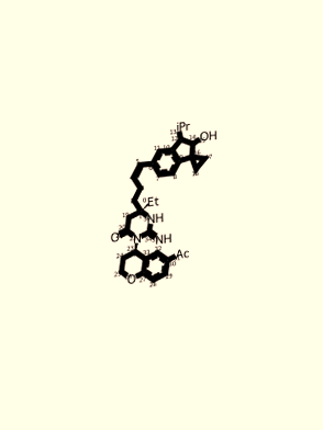 CC[C@@]1(CC/C=C\c2ccc3c(c2)C(C(C)C)C(O)C32CC2)CC(=O)N([C@@H]2CCOc3ccc(C(C)=O)cc32)C(=N)N1